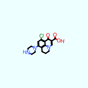 O=C(O)c1cn2c3c(c(N4CCNCC4)cc(Cl)c3c1=O)CCC2